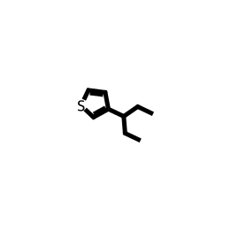 CCC(CC)c1ccsc1